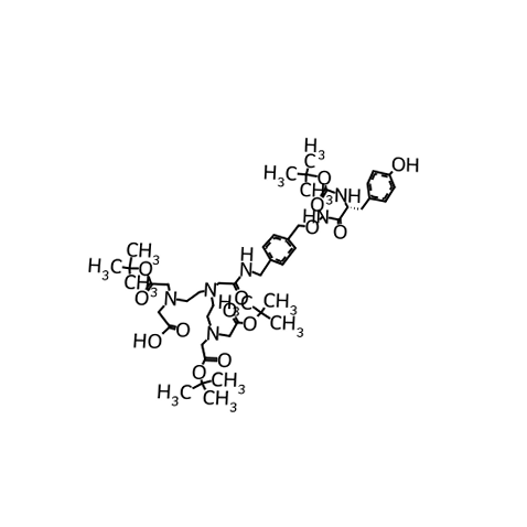 CC(C)(C)OC(=O)CN(CCN(CCN(CC(=O)OC(C)(C)C)CC(=O)OC(C)(C)C)CC(=O)NCc1ccc(CONC(=O)[C@@H](Cc2ccc(O)cc2)NC(=O)OC(C)(C)C)cc1)CC(=O)O